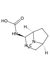 CN1[C@H]2CC[C@@H]1[C@H](NC(=O)O)CC2